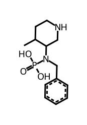 CC1CCNCC1N(Cc1ccccc1)P(=O)(O)O